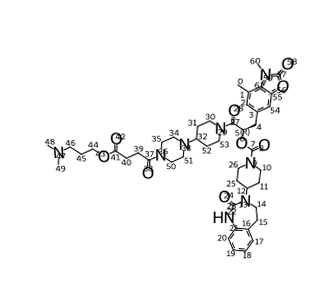 Cc1cc(C[C@@H](OC(=O)N2CCC(N3CCc4ccccc4NC3=O)CC2)C(=O)N2CCC(N3CCN(C(=O)CCC(=O)OCCCN(C)C)CC3)CC2)cc2oc(=O)n(C)c12